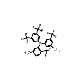 Cc1cc(B(c2cc(C(F)(F)F)cc(C(F)(F)F)c2)c2cc(C)ccc2C(F)(F)F)cc(C(F)(F)F)c1